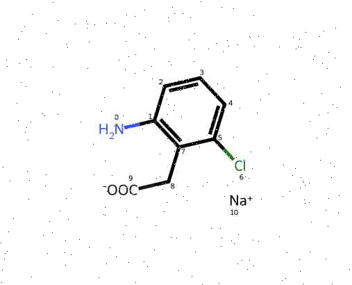 Nc1cccc(Cl)c1CC(=O)[O-].[Na+]